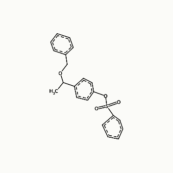 CC(OCc1ccccc1)c1ccc(OS(=O)(=O)c2ccccc2)cc1